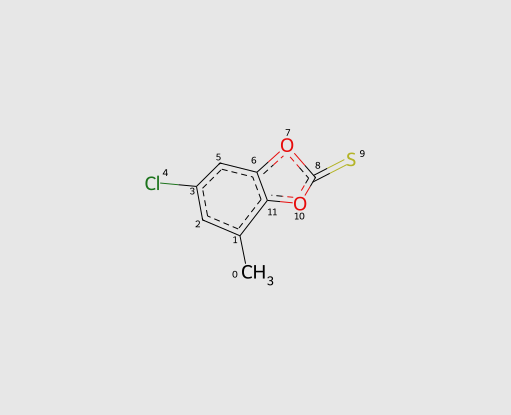 Cc1cc(Cl)cc2oc(=S)oc12